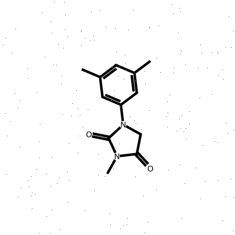 Cc1cc(C)cc(N2CC(=O)N(C)C2=O)c1